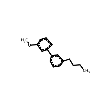 CCCCc1cccc(-c2cc[c]c(OC)c2)c1